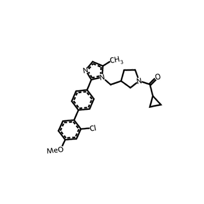 COc1ccc(-c2ccc(-c3ncc(C)n3CC3CCN(C(=O)C4CC4)C3)cc2)c(Cl)c1